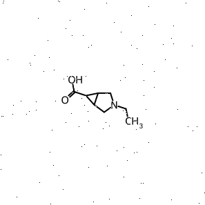 CCN1CC2C(C1)C2C(=O)O